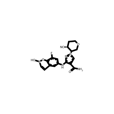 N#C[C@H]1CCOCC1n1cc(C(N)=O)c(Nc2cc(F)c3c(c2)C=CB(O)O3)n1